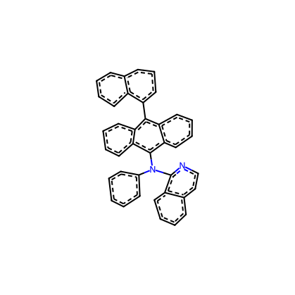 c1ccc(N(c2nccc3ccccc23)c2c3ccccc3c(-c3cccc4ccccc34)c3ccccc23)cc1